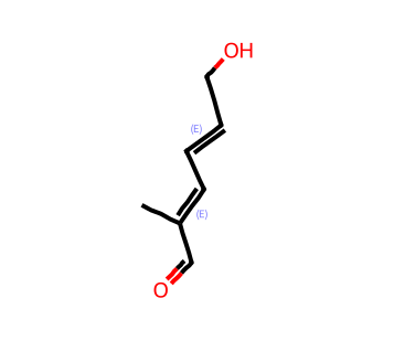 C/C(C=O)=C\C=C\CO